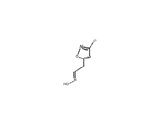 ON=CCc1cc(Cl)no1